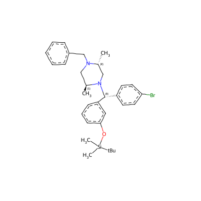 C[C@@H]1CN([C@H](c2ccc(Br)cc2)c2cccc(O[Si](C)(C)C(C)(C)C)c2)[C@@H](C)CN1Cc1ccccc1